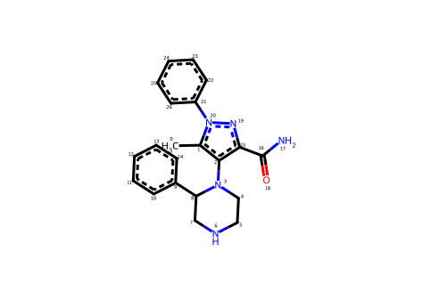 Cc1c(N2CCNCC2c2ccccc2)c(C(N)=O)nn1-c1ccccc1